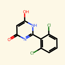 O=c1cc(O)[nH]c(-c2c(Cl)cccc2Cl)n1